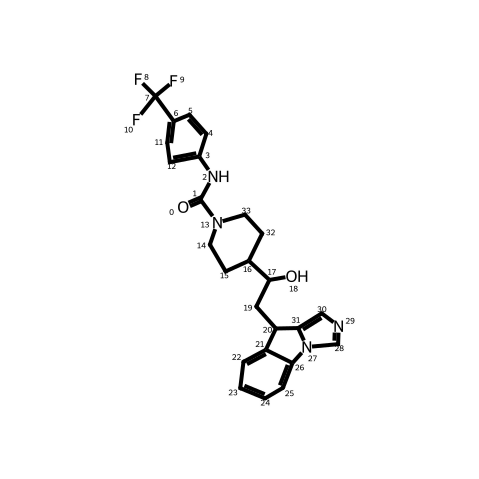 O=C(Nc1ccc(C(F)(F)F)cc1)N1CCC(C(O)CC2c3ccccc3-n3cncc32)CC1